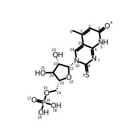 Cc1cc(=O)[nH]c2nc(=S)n([C@@H]3O[C@H](COP(=O)(O)O)C(O)[C@@H]3O)cc12